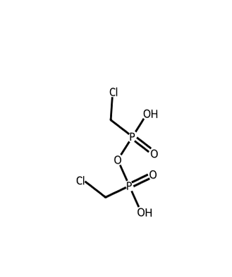 O=P(O)(CCl)OP(=O)(O)CCl